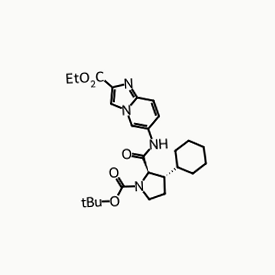 CCOC(=O)c1cn2cc(NC(=O)[C@H]3[C@H](C4CCCCC4)CCN3C(=O)OC(C)(C)C)ccc2n1